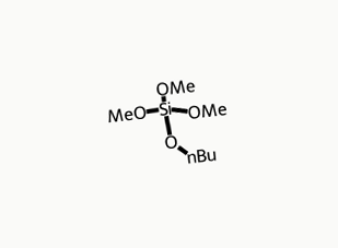 CCCCO[Si](OC)(OC)OC